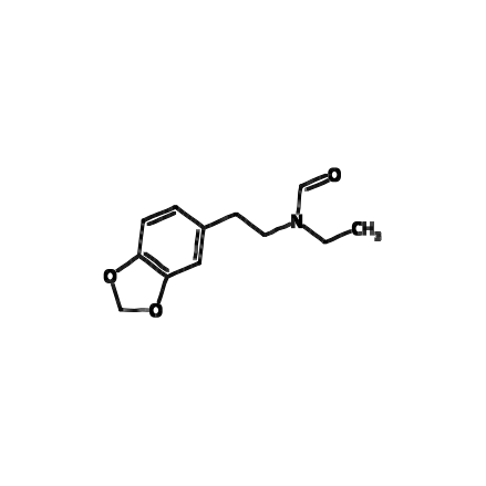 CCN(C=O)CCc1ccc2c(c1)OCO2